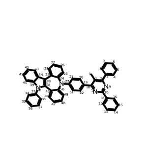 Cc1c(-c2ccccc2)nc(-c2ccccc2)nc1-c1ccc(N2c3ccccc3-c3c(n(-c4ccccc4)c4ccccc34)-c3ccccc32)cc1